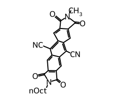 CCCCCCCCn1c(=O)c2cc3c(C#N)c4cc5c(=O)n(C)c(=O)c5cc4c(C#N)c3cc2c1=O